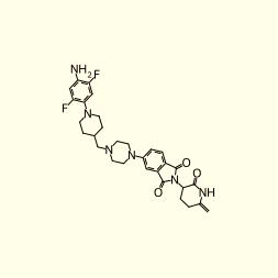 C=C1CCC(N2C(=O)c3ccc(N4CCN(CC5CCN(c6cc(F)c(N)cc6F)CC5)CC4)cc3C2=O)C(=O)N1